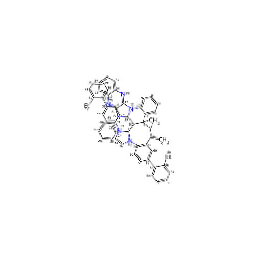 C=C1CC2(C)c3ccccc3N3c4nc5ccccc5nc4N(c4ccccc4)C3C2C2N(c3ccc(-c4ccccc4CC)cc3)C=CN2c2ccc(-c3ccccc3CC)cc21